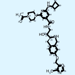 CC(=O)N1CCN(c2cc(C(=O)NC[C@@H](O)[C@@H]3Cc4ccc(OCc5ocnc5C)cc4CN3)cc(NC3CCC3)n2)CC1